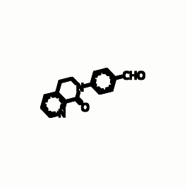 O=Cc1ccc(N2CCc3cccnc3C2=O)cc1